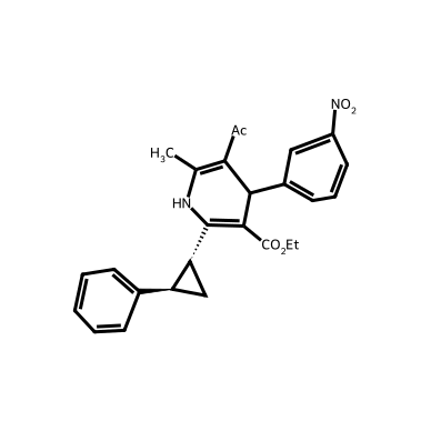 CCOC(=O)C1=C([C@@H]2C[C@H]2c2ccccc2)NC(C)=C(C(C)=O)C1c1cccc([N+](=O)[O-])c1